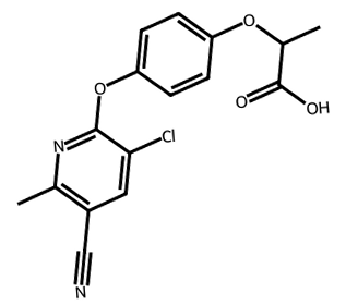 Cc1nc(Oc2ccc(OC(C)C(=O)O)cc2)c(Cl)cc1C#N